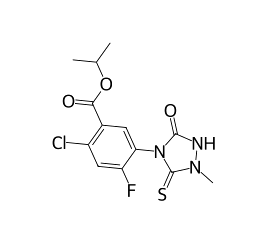 CC(C)OC(=O)c1cc(-n2c(=O)[nH]n(C)c2=S)c(F)cc1Cl